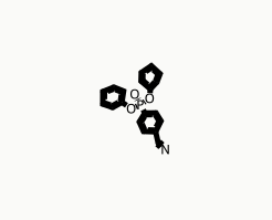 N#Cc1ccc(P(=O)(Oc2ccccc2)Oc2ccccc2)cc1